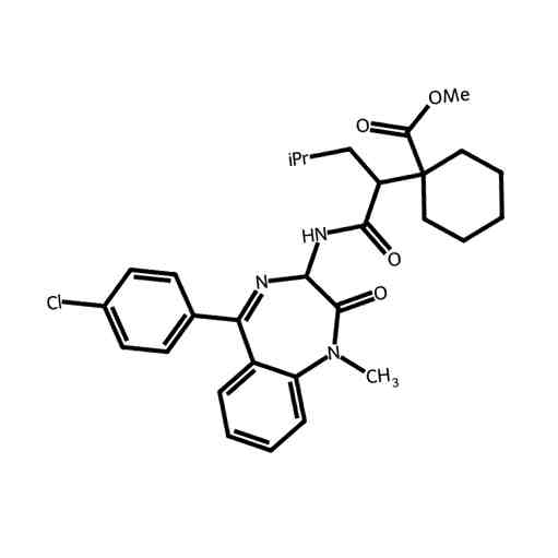 COC(=O)C1(C(CC(C)C)C(=O)NC2N=C(c3ccc(Cl)cc3)c3ccccc3N(C)C2=O)CCCCC1